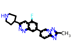 Cc1nc2ccc(-c3cc(F)c4cc(C5CCNCC5)nnc4c3)cn2n1